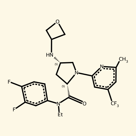 CCN(C(=O)[C@@H]1C[C@H](NC2COC2)CN1c1cc(C(F)(F)F)cc(C)n1)c1ccc(F)c(F)c1